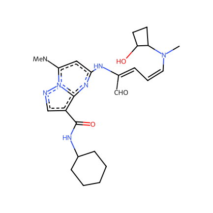 CNc1cc(N/C(C=O)=C/C=C\N(C)C2CCC2O)nc2c(C(=O)NC3CCCCC3)cnn12